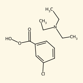 CCN(CC)CC.O=C(OO)c1cccc(Cl)c1